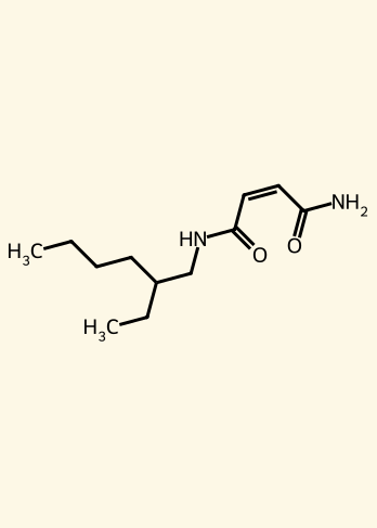 CCCCC(CC)CNC(=O)/C=C\C(N)=O